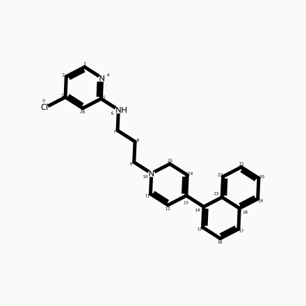 Clc1ccnc(NCCCN2C=CC(c3cccc4ccccc34)=CC2)c1